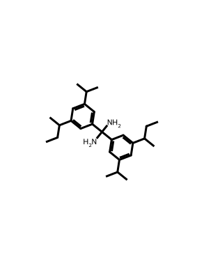 CCC(C)c1cc(C(C)C)cc(C(N)(N)c2cc(C(C)C)cc(C(C)CC)c2)c1